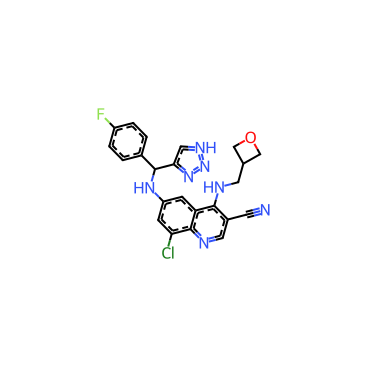 N#Cc1cnc2c(Cl)cc(NC(c3ccc(F)cc3)c3c[nH]nn3)cc2c1NCC1COC1